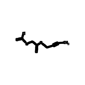 CC#CCOC(=O)COC(=O)Cl